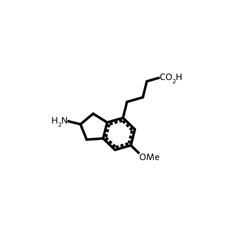 COc1cc(CCCC(=O)O)c2c(c1)CC(N)C2